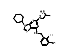 CC(N)CNc1nc(NCc2cccc(Cl)c2O)c2ncn(C3CCCCC3)c2n1